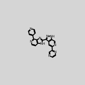 c1cc(-c2nccc3[nH]c(-c4n[nH]c5cnc(-c6cnccn6)cc45)nc23)ccn1